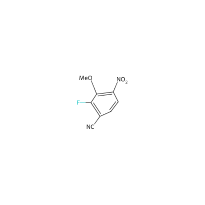 COc1c([N+](=O)[O-])ccc(C#N)c1F